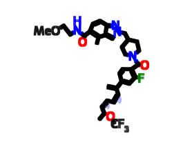 C=C(/C=C\C=C/C(C)OC(F)(F)F)c1ccc(C(=O)N2CCC(Cn3cc4c(C)c(C(=O)NCCOC)ccc4n3)CC2)c(F)c1